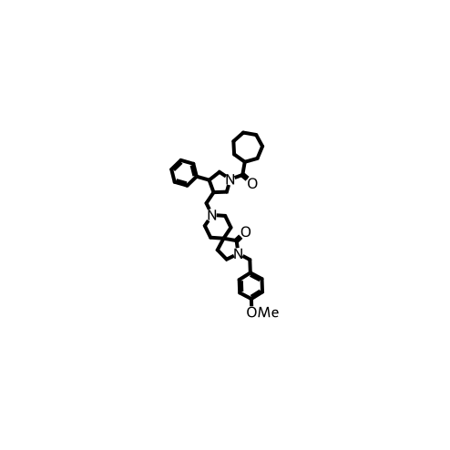 COc1ccc(CN2CCC3(CCN(CC4CN(C(=O)C5CCCCCC5)CC4c4ccccc4)CC3)C2=O)cc1